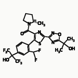 C[C@H]1CCCN1C(=O)c1nc(-c2noc(C(C)(C)O)n2)sc1-c1ccc(C(O)(C(F)(F)F)C(F)(F)F)cc1C(F)F